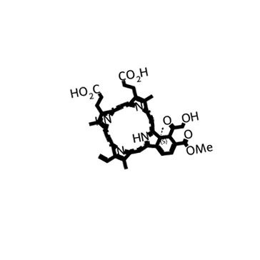 C=CC1=C(C)c2cc3[nH]c(cc4nc(cc5[nH]c(cc1n2)c(C)c5CCC(=O)O)C(CCC(=O)O)=C4C)[C@]1(C)C3=CC=C(C(=O)OC)C1C(=O)CO